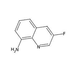 Nc1cccc2cc(F)cnc12